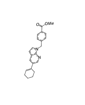 COC(=O)c1ccc(Cn2ccc3cc(C4=CCCCC4)cnc32)cc1